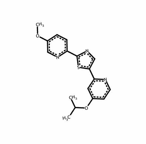 COc1ccc(-c2ncc(-c3cc(OC(C)C)ccn3)s2)nc1